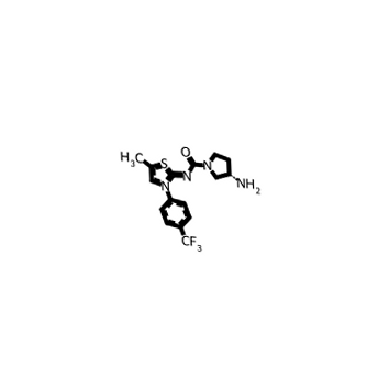 Cc1cn(-c2ccc(C(F)(F)F)cc2)c(=NC(=O)N2CC[C@H](N)C2)s1